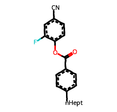 CCCCCCCc1ccc(C(=O)Oc2ccc(C#N)cc2F)cc1